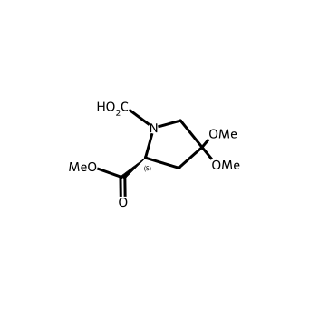 COC(=O)[C@@H]1CC(OC)(OC)CN1C(=O)O